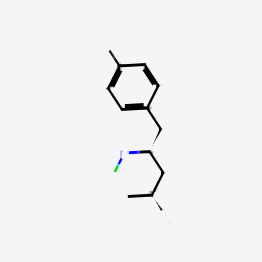 COc1ccc(C[C@@H](C[C@H](C)C(C)=O)NCl)cc1